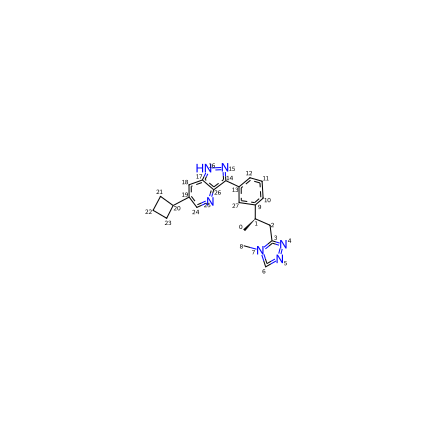 C[C@H](Cc1nncn1C)c1cccc(-c2n[nH]c3cc(C4CCC4)cnc23)c1